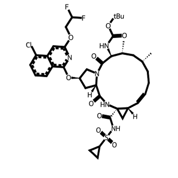 C[C@@H]1CC/C=C\[C@@H]2C[C@@]2(C(=O)NS(=O)(=O)C2CC2)NC(=O)[C@@H]2C[C@@H](Oc3nc(OCC(F)F)cc4c(Cl)cccc34)CN2C(=O)[C@@H](NC(=O)OC(C)(C)C)[C@H](C)C1